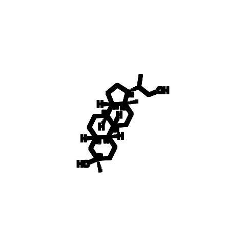 CC(CO)[C@H]1CC[C@H]2[C@@H]3CC[C@H]4C[C@](C)(O)CC[C@@H]4[C@H]3CC[C@]12C